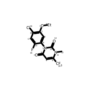 CCOc1cc(-n2c(=O)cc(C(F)(F)F)n(C)c2=O)c(F)cc1Cl